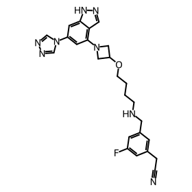 N#CCc1cc(F)cc(CNCCCCOC2CN(c3cc(-n4cnnc4)cc4[nH]ncc34)C2)c1